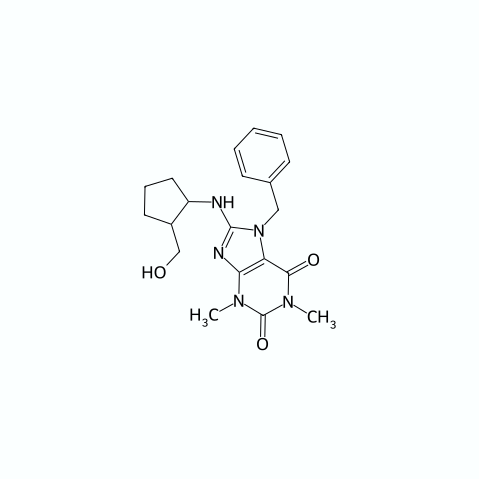 Cn1c(=O)c2c(nc(NC3CCCC3CO)n2Cc2ccccc2)n(C)c1=O